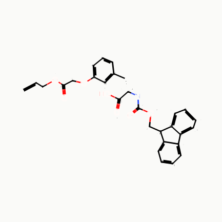 C=CCOC(=O)COc1cccc(C[C@H](NC(=O)OCC2c3ccccc3-c3ccccc32)C(=O)O)c1